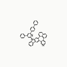 c1ccc(-c2ccc(-c3cc(-c4ccccc4)cc(-n4c5ccccc5c5cc6c(cc54)-c4cccc5cccc(c45)-c4ccncc4-6)n3)cc2)cc1